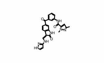 Cc1cc(C(=O)Nc2cccc(C(=O)c3ccc4c(c3)NC(=O)/C4=C\Nc3cc[nH]n3)c2)n(C)n1